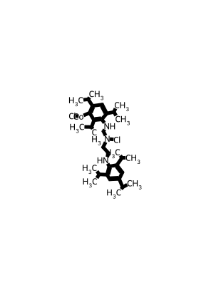 CC(C)c1cc(C(C)C)c(NCCN(Cl)CNc2c(C(C)C)cc(C(C)C)[c]([Co][Cl])c2C(C)C)c(C(C)C)c1